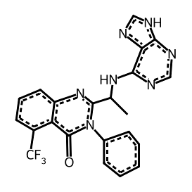 CC(Nc1ncnc2[nH]cnc12)c1nc2cccc(C(F)(F)F)c2c(=O)n1-c1ccccc1